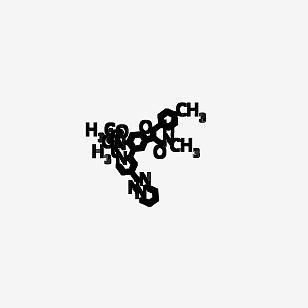 CNC(=O)c1c(-c2ccc(C)cc2)oc2cc(N(C)S(C)(=O)=O)c(-c3cc(-c4nc5ccccn5n4)ccn3)cc12